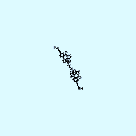 C#CC#Cc1ccc2c(c1)C(=O)N1CCC[C@H]1c1c(C(=O)OCCCOC(=O)c3ncn4c3[C@@H]3CCCN3C(=O)c3cc(C#CC#C)ccc3-4)ncn1-2